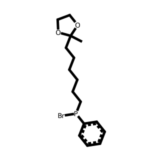 CC1(CCCCCCP(Br)c2ccccc2)OCCO1